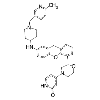 Cc1ccc(CN2CCC(Nc3ccc4c(c3)Cc3cccc(C5CN(c6cc[nH]c(=O)c6)CCO5)c3O4)CC2)cn1